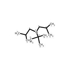 CC(C)[CH2][Al]([CH2]C(C)C)[C](C)(C)C